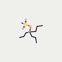 CCC[Si](CCC)(CCC)OS(C)(=O)=O